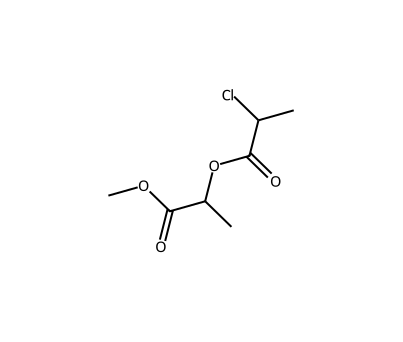 COC(=O)C(C)OC(=O)C(C)Cl